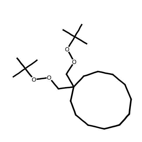 CC(C)(C)OOCC1(COOC(C)(C)C)CCCCCCCCCCC1